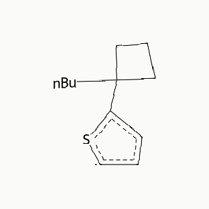 CCCCC1(c2cc[c]s2)CCC1